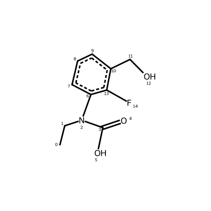 CCN(C(=O)O)c1cccc(CO)c1F